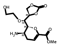 COC(=O)C1=CC[C@@H](N)[C@H]([C@H](OCCO)[C@H]2COC(=O)O2)O1